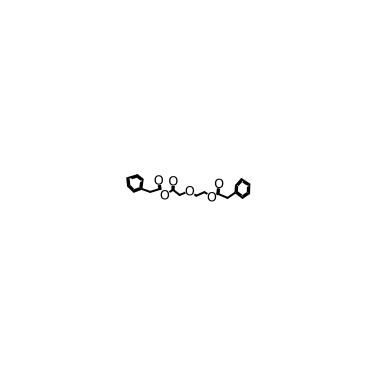 O=C(Cc1ccccc1)OCCOCC(=O)OC(=O)Cc1ccccc1